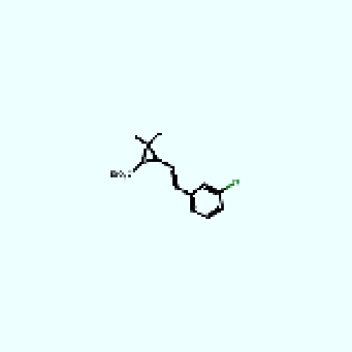 CCOC(=O)C1C(C=Cc2cccc(Cl)c2)C1(C)C